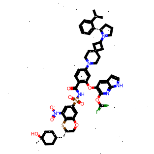 CC(C)c1ccccc1[C@@H]1CCCN1C1CC2(CCN(c3ccc(C(=O)NS(=O)(=O)c4cc5c(c([N+](=O)[O-])c4)S[C@@H](C[C@H]4CC[C@](C)(O)CC4)CO5)c(Oc4cc5cc[nH]c5nc4OC(F)F)c3)CC2)C1